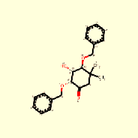 CC1(C)CC(=O)[C@H](OCc2ccccc2)[C@H](O)[C@H]1OCc1ccccc1